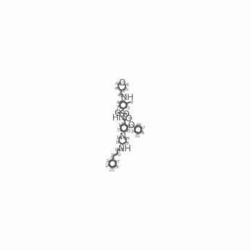 Cc1cc(S(=O)(=O)NC(=O)c2ccc(N3CCC(NCCCc4ccccc4)CC3)cc2Oc2ccccc2)ccc1NCC1CCOCC1